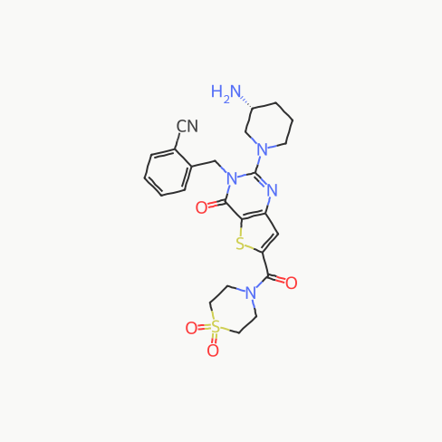 N#Cc1ccccc1Cn1c(N2CCC[C@@H](N)C2)nc2cc(C(=O)N3CCS(=O)(=O)CC3)sc2c1=O